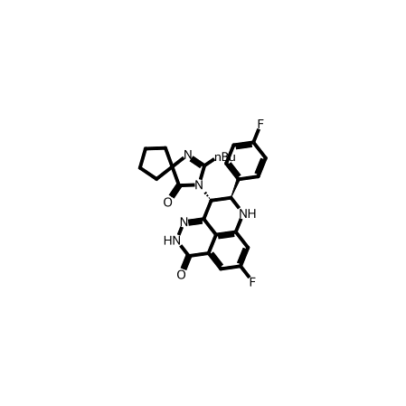 CCCCC1=NC2(CCCC2)C(=O)N1[C@H]1c2n[nH]c(=O)c3cc(F)cc(c23)N[C@@H]1c1ccc(F)cc1